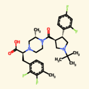 Cc1ccc(C[C@@H](C(=O)O)N2CCN(C(=O)[C@@H]3CN(C(C)(C)C)C[C@H]3c3ccc(F)cc3F)[C@@H](C)C2)c(F)c1F